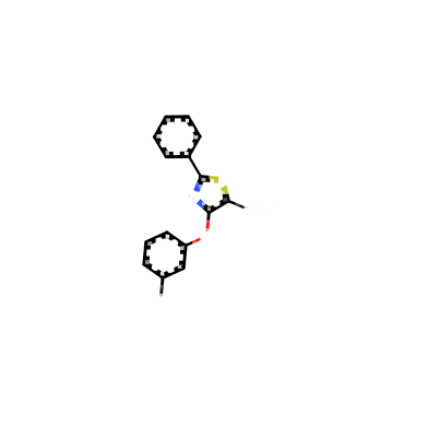 CCOC(=O)c1sc(-c2ccccc2)nc1Oc1cccc(C(F)(F)F)c1